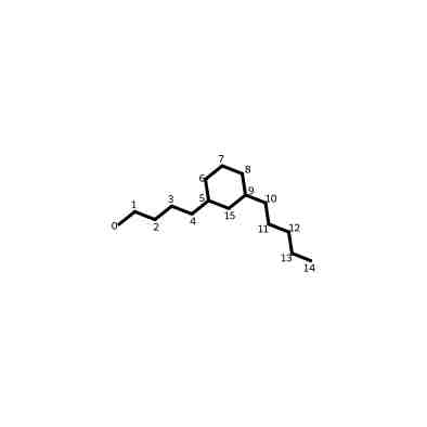 CCCCCC1CCCC(CCCCC)C1